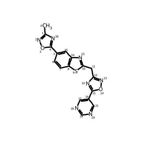 Cc1noc(-c2ccc3sc(Cc4noc(-c5cncnc5)n4)nc3c2)n1